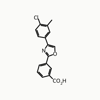 Cc1cc(-c2coc(-c3cccc(C(=O)O)c3)n2)ccc1Cl